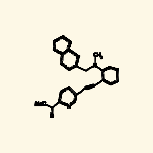 COC(=O)c1ccc(C#Cc2ccccc2N(C)Cc2ccc3ccccc3c2)cn1